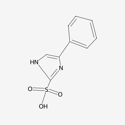 O=S(=O)(O)c1nc(-c2ccccc2)c[nH]1